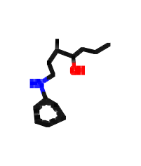 CCCC(O)C(C)CCNc1ccccc1